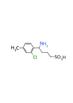 Cc1ccc(C(N)CCCS(=O)(=O)O)c(Cl)c1